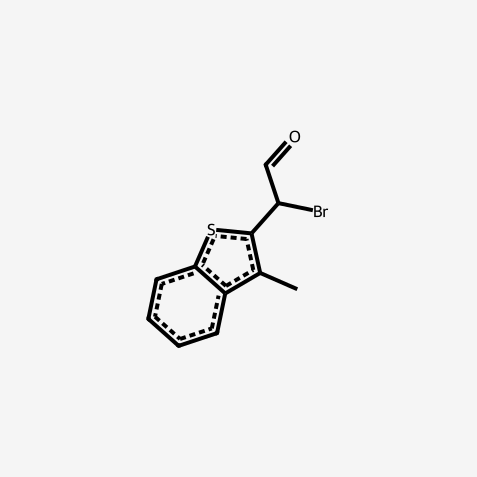 Cc1c(C(Br)C=O)sc2ccccc12